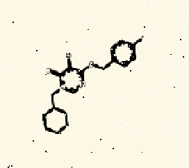 O=c1c(Br)c(OCc2ccc(F)cc2)ncn1CC1CCCCC1